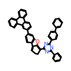 C1=c2c(oc3cc(-c4ccc5c6ccccc6c6ccccc6c5c4)ccc23)=C(c2nc(-c3ccccc3)nc(-c3ccc(-c4ccccc4)cc3)n2)CC1